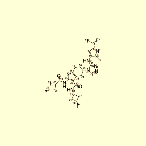 Cn1nc(C(F)F)cc1Nc1nncn1[C@H]1CCc2sc(NC(=O)C3CC(F)C3)c(C(=O)N[C@H]3C[C@H](F)C3)c2C1